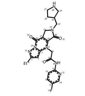 CCc1cc2n(CC(=O)Nc3ccc(F)cn3)c3c(c(=O)n2n1)CN(CC1CCNC1)C3=O